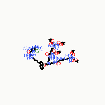 CC(C)(C)OC(=O)/N=C(\NCCCC[C@@H](N)C(=O)NCCCN(CCCNC(=O)[C@@H](CCCCN/C(=N\C(=O)OC(C)(C)C)NC(=O)OC(C)(C)C)NC(=O)OC(C)(C)C)CCOc1ccc(CCCCNC(=N)NC(=O)c2nc(Cl)c(N)nc2N)c2ccccc12)NC(=O)OC(C)(C)C